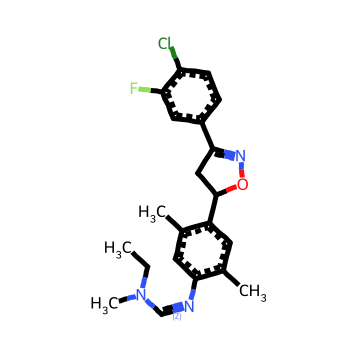 CCN(C)/C=N\c1cc(C)c(C2CC(c3ccc(Cl)c(F)c3)=NO2)cc1C